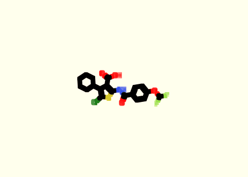 O=C(Nc1sc(Cl)c(C2CCCCC2)c1C(=O)O)c1ccc(OC(F)F)cc1